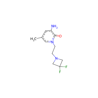 Cc1cc(N)c(=O)n(CCN2CC(F)(F)C2)c1